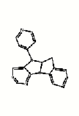 c1ccc2c(c1)CC1N(c3ccncc3)c3cncnc3N21